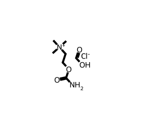 C[N+](C)(C)CCOC(N)=O.O=CO.[Cl-]